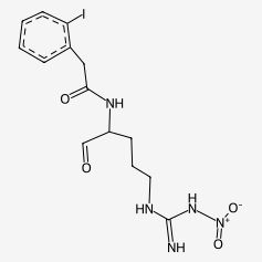 N=C(NCCCC(C=O)NC(=O)Cc1ccccc1I)N[N+](=O)[O-]